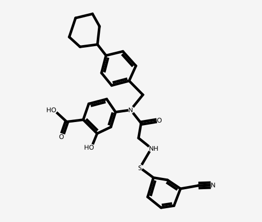 N#Cc1cccc(SNCC(=O)N(Cc2ccc(C3CCCCC3)cc2)c2ccc(C(=O)O)c(O)c2)c1